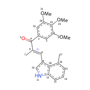 COc1cc(C(=O)/C(C)=C/c2c[nH]c3cccc(C)c23)cc(OC)c1OC